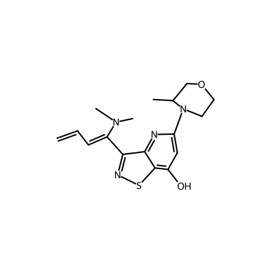 C=C/C=C(/c1nsc2c(O)cc(N3CCOCC3C)nc12)N(C)C